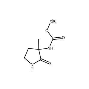 CC(C)(C)OC(=O)NC1(C)CCNC1=S